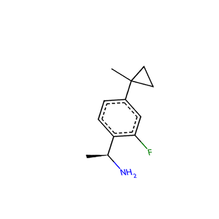 C[C@H](N)c1ccc(C2(C)CC2)cc1F